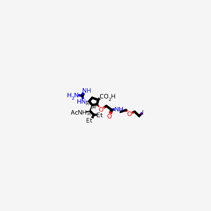 CCC(CC)[C@@H](NC(C)=O)[C@@H]1[C@H](OCC(=O)NCCOCCI)C(C(=O)O)C[C@H]1NC(=N)N